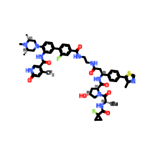 Cc1ncsc1-c1ccc([C@H](CC(=O)NCCNC(=O)c2ccc(-c3ccc(N4C[C@@H](C)N(C)[C@@H](C)C4)c(NC(=O)c4c[nH]c(=O)cc4C(F)(F)F)c3)c(F)c2)NC(=O)[C@@H]2C[C@@H](O)CN2C(=O)[C@@H](NC(=O)C2(F)CC2)C(C)(C)C)cc1